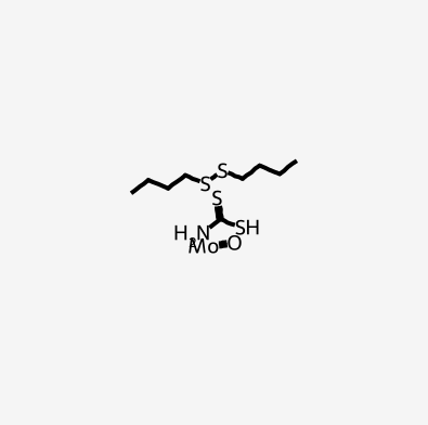 CCCCSSCCCC.NC(=S)S.[O]=[Mo]